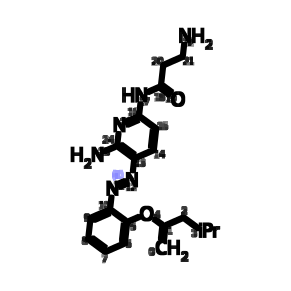 C=C(CC(C)C)Oc1ccccc1/N=N/c1ccc(NC(=O)CCN)nc1N